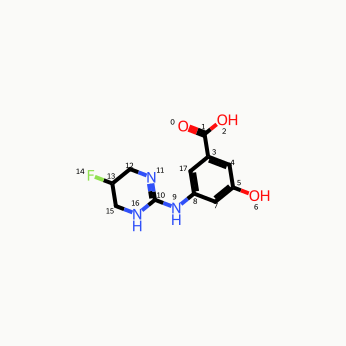 O=C(O)c1cc(O)cc(NC2=NCC(F)CN2)c1